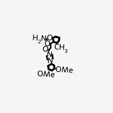 COc1ccc(N2CCN(C(=O)CC(OC(N)=O)c3ccccc3C)CC2)cc1OC